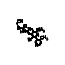 Cc1ccncc1-c1nc(N)c2cnc(NC(=O)[C@H]3C[C@@H]3CC#N)cc2c1Br